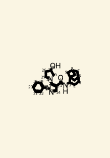 O=C(NC1CCC2CC3CC1(C2)C3)c1cnn(-c2ccccc2)c1N1CCC(O)C1